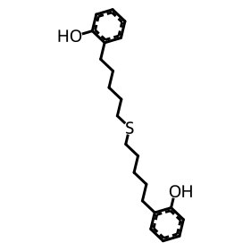 Oc1ccccc1CCCCCSCCCCCc1ccccc1O